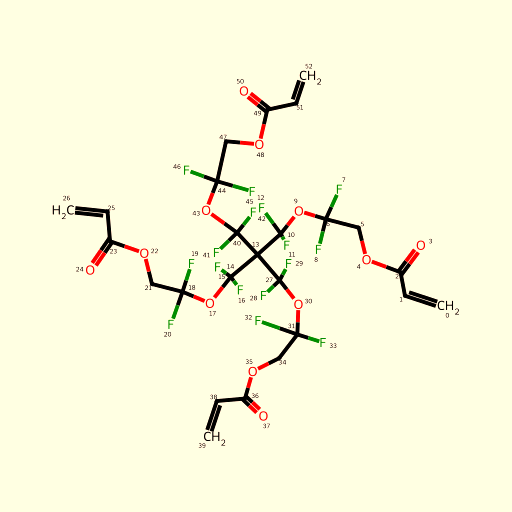 C=CC(=O)OCC(F)(F)OC(F)(F)C(C(F)(F)OC(F)(F)COC(=O)C=C)(C(F)(F)OC(F)(F)COC(=O)C=C)C(F)(F)OC(F)(F)COC(=O)C=C